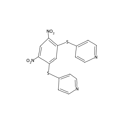 O=[N+]([O-])c1cc([N+](=O)[O-])c(Sc2ccncc2)cc1Sc1ccncc1